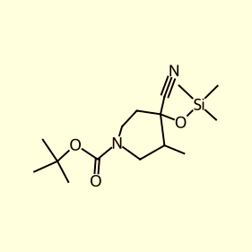 CC1CN(C(=O)OC(C)(C)C)CCC1(C#N)O[Si](C)(C)C